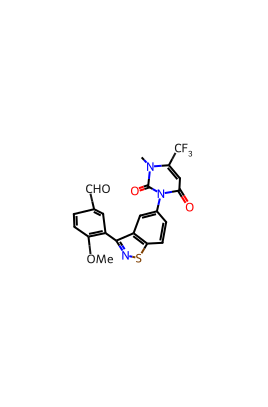 COc1ccc(C=O)cc1-c1nsc2ccc(-n3c(=O)cc(C(F)(F)F)n(C)c3=O)cc12